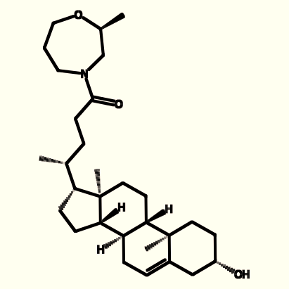 C[C@H](CCC(=O)N1CCCO[C@@H](C)C1)[C@H]1CC[C@H]2[C@@H]3CC=C4C[C@@H](O)CC[C@]4(C)[C@H]3CC[C@]12C